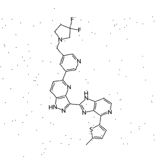 Cc1ccc(-c2nccc3[nH]c(-c4n[nH]c5ccc(-c6cncc(CN7CCC(F)(F)C7)c6)nc45)nc23)s1